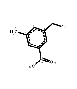 Cc1cc(CCl)cc([N+](=O)[O-])c1